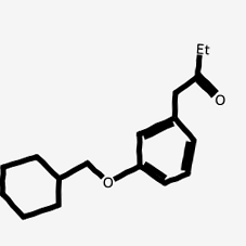 CCC(=O)Cc1cccc(OCC2CCCCC2)c1